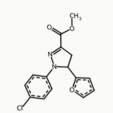 COC(=O)C1=NN(c2ccc(Cl)cc2)C(c2ccco2)C1